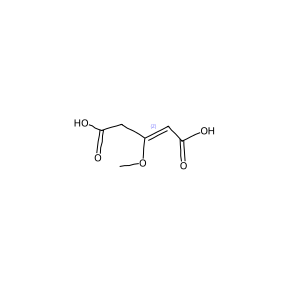 CO/C(=C\C(=O)O)CC(=O)O